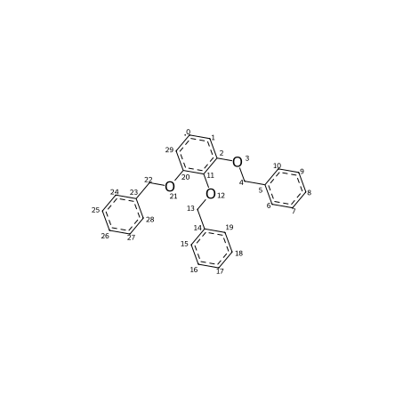 [c]1cc(OCc2ccccc2)c(OCc2ccccc2)c(OCc2ccccc2)c1